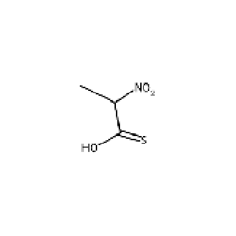 CC(C(O)=S)[N+](=O)[O-]